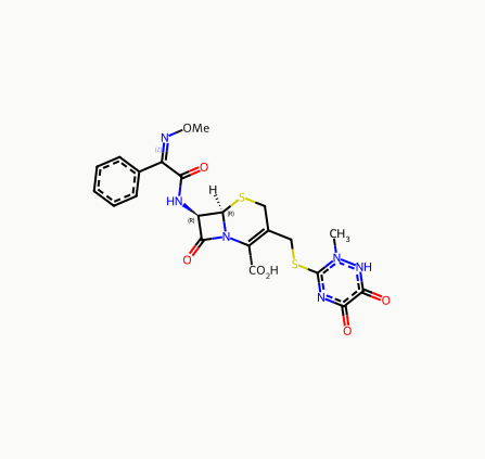 CO/N=C(\C(=O)N[C@@H]1C(=O)N2C(C(=O)O)=C(CSc3nc(=O)c(=O)[nH]n3C)CS[C@H]12)c1ccccc1